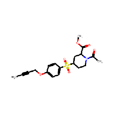 CC#CCOc1ccc(S(=O)(=O)C2CCN(C(C)=O)C(C(=O)OC)C2)cc1